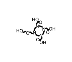 O=C(O)CN1CCN(CCOCCO)CCN(CC(=O)O)CCN(CC(=O)O)CC1